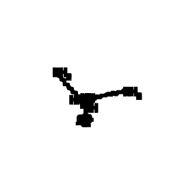 CCO[Si](CCCNc1nc(NCCCCCCCCCCCCN)nc(NCCCCCCCCCCCCN)n1)(OCC)OCC